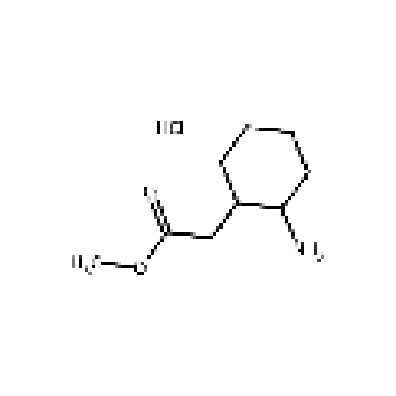 COC(=O)CC1CCCCC1N.Cl